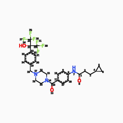 O=C(CCC1CC1)Nc1ccc(C(=O)N2CCN(Cc3ccc(C(O)(C(F)(F)F)C(F)(F)F)cc3)CC2)cc1